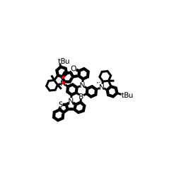 CC(C)(C)c1ccc2c(c1)C1(C)CCCCC1(C)N2c1cc2c3c(c1)-n1c4sc5ccccc5c4c4cccc(c41)B3c1ccc(N3c4ccc(C(C)(C)C)cc4C4(C)CCCC[C@]34C)cc1N2c1cccc2oc3ccccc3c12